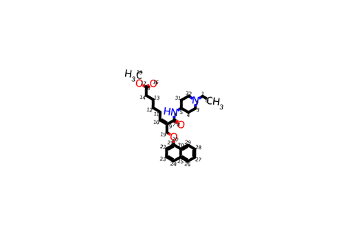 CCN1CCC(NC(=O)C(=CCCCCC(=O)OC)COc2cccc3ccccc23)CC1